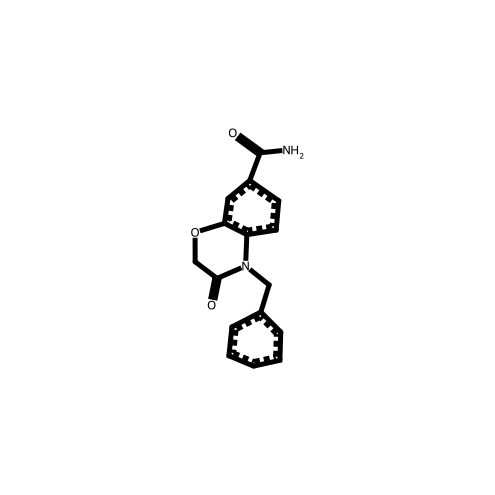 NC(=O)c1ccc2c(c1)OCC(=O)N2Cc1ccccc1